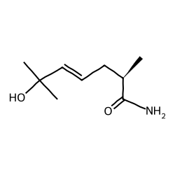 C[C@H](C/C=C/C(C)(C)O)C(N)=O